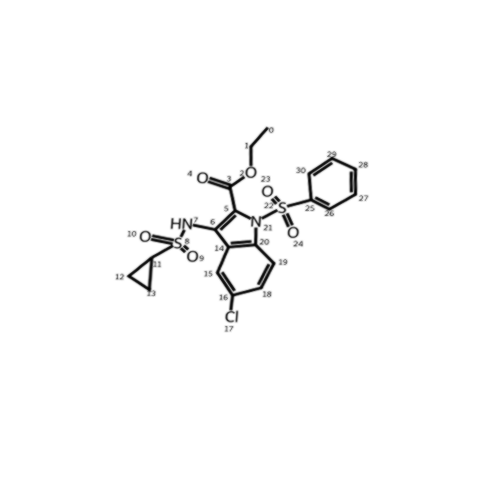 CCOC(=O)c1c(NS(=O)(=O)C2CC2)c2cc(Cl)ccc2n1S(=O)(=O)c1ccccc1